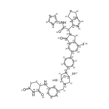 O=C1CCC(Nc2cccc(CN3C[C@H]4C[C@@H]3CN4c3ccc(-c4cc(F)c5c(c4)C(=O)N(C(C(=O)Nc4nccs4)c4ncn6c4CCC6)C5)cc3)c2)C(=O)N1